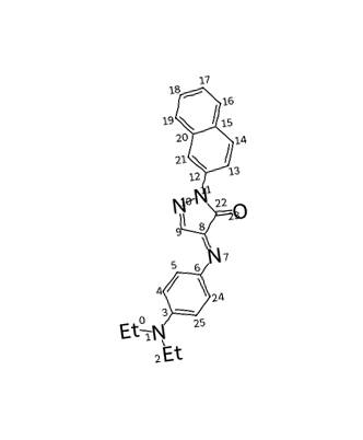 CCN(CC)c1ccc(N=C2C=NN(c3ccc4ccccc4c3)C2=O)cc1